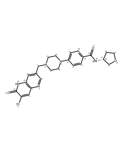 CCc1cc2ncc(CN3CCN(c4ccc(C(=O)N[C@@H]5CCOC5)nc4)CC3)cc2[nH]c1=O